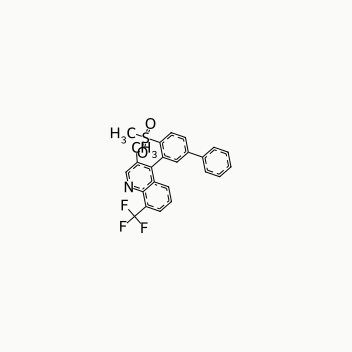 Cc1cnc2c(C(F)(F)F)cccc2c1-c1cc(-c2ccccc2)ccc1S(C)(=O)=O